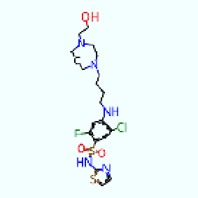 O=S(=O)(Nc1nccs1)c1cc(Cl)c(NCCCCN2CCCN(CCO)CC2)cc1F